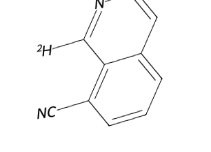 [2H]c1nccc2cccc(C#N)c12